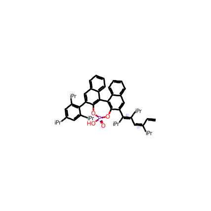 C=C/C(=C\C(=C(\c1cc2ccccc2c2c1OP(=O)(O)Oc1c(-c3c(C(C)C)cc(C(C)C)cc3C(C)C)cc3ccccc3c1-2)C(C)C)C(C)C)C(C)C